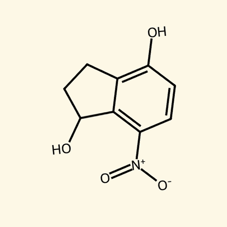 O=[N+]([O-])c1ccc(O)c2c1C(O)CC2